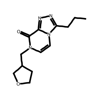 CCCc1nnc2c(=O)n(CC3CCOC3)ccn12